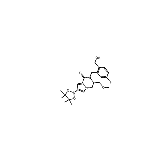 COC[C@H]1Cn2cc(B3OC(C)(C)C(C)(C)O3)cc2C(=O)N1Cc1cc(F)ccc1CO